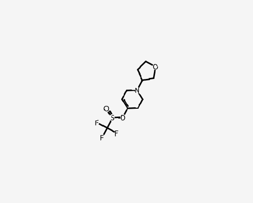 O=S(OC1=CCN(C2CCOC2)CC1)C(F)(F)F